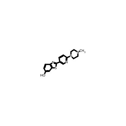 CN1CCN(c2ccc(-c3nc4ccc(O)cc4s3)cn2)CC1